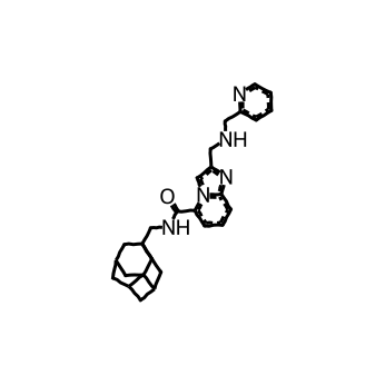 O=C(NCC12CC3CC4CC(C1)C4(C3)C2)c1cccc2nc(CNCc3ccccn3)cn12